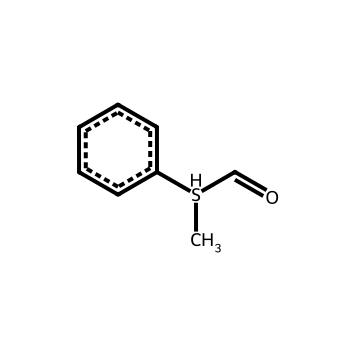 C[SH](C=O)c1ccccc1